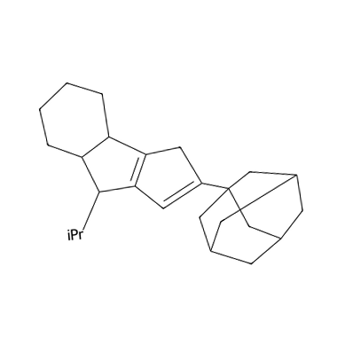 CC(C)C1C2=C(CC(C34CC5CC(CC(C5)C3)C4)=C2)C2CCCCC21